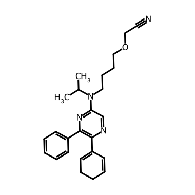 CC(C)N(CCCCOCC#N)c1cnc(C2=CCCC=C2)c(-c2ccccc2)n1